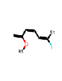 C=C(/C=C\C=C(\F)CC)OCC